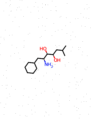 CC(C)C[C@@H](O)[C@H](O)[C@@H](N)CC1CCCCC1